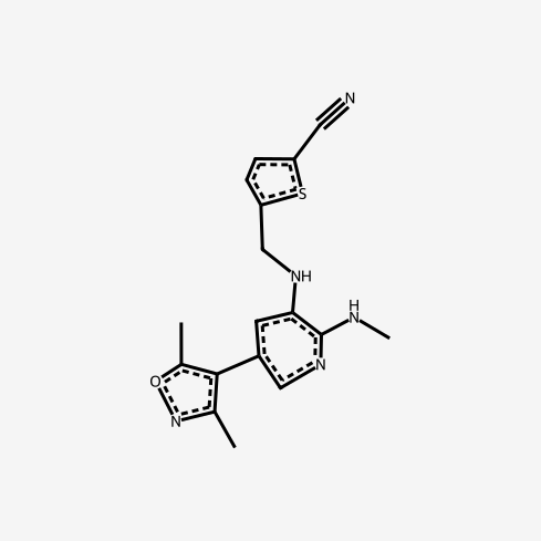 CNc1ncc(-c2c(C)noc2C)cc1NCc1ccc(C#N)s1